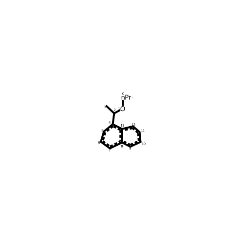 CC[CH]OC(C)c1cccc2ccccc12